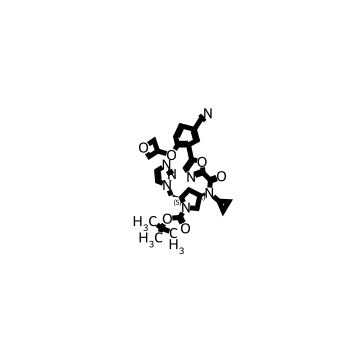 CC(C)(C)OC(=O)N1C[C@H](N(C(=O)c2ncc(-c3cc(C#N)ccc3OC3COC3)o2)C2CC2)C[C@H]1Cn1ccnn1